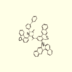 C=C(C)C(/N=C(\C(C)=C(/C)c1cc2c(c(-n3c4cc5ccccc5cc4c4c5ccccc5ccc43)c1)CSc1cc3ccccc3cc1-2)c1cccc2oc3ccccc3c12)c1cccc(-c2ccccc2)c1